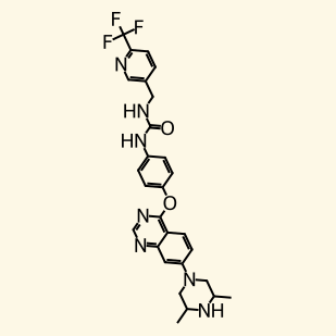 CC1CN(c2ccc3c(Oc4ccc(NC(=O)NCc5ccc(C(F)(F)F)nc5)cc4)ncnc3c2)CC(C)N1